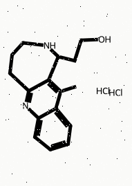 Cc1c2c(nc3ccccc13)CCCNC2CCO.Cl.Cl